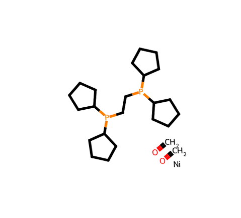 C1CCC(P(CCP(C2CCCC2)C2CCCC2)C2CCCC2)C1.C=O.C=O.[Ni]